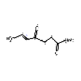 C/C=C/C(=O)CCC(=O)NC